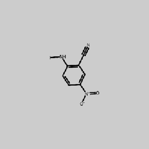 N#Cc1cc([N+](=O)[O-])ccc1NI